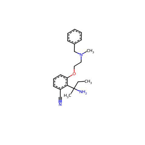 CCC(C)(N)c1c(C#N)cccc1OCCN(C)Cc1ccccc1